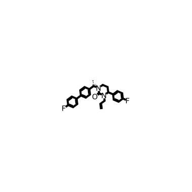 C=CCN1C(=O)N([C@@H](C)c2ccc(-c3ccc(F)cc3)cc2)CCC1c1ccc(F)cc1